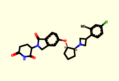 N#Cc1cc(Cl)ccc1C1CN([C@H]2CCC[C@@H]2Oc2ccc3c(c2)CN(C2CCC(=O)NC2=O)C3=O)C1